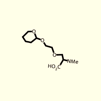 CNC(COCCOC1CCCCO1)C(=O)O